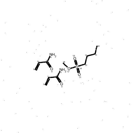 C=CC(N)=O.C=CC(N)=O.CCCCS(=O)(=O)OC